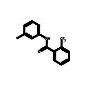 Cc1cccc(NC(=O)c2ccccc2C(F)(F)F)c1